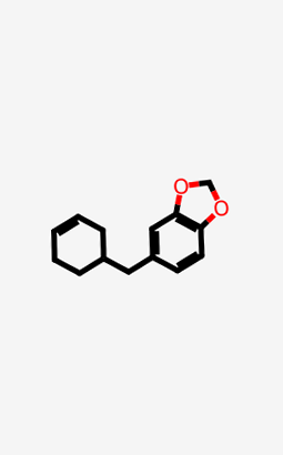 C1=CCC(Cc2ccc3c(c2)OCO3)CC1